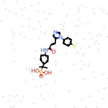 CC(C)(c1ccc(NC(=O)C=Cc2cncn2-c2ccc(F)cc2)cc1)P(=O)(O)O